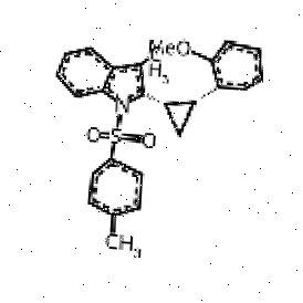 COc1ccccc1[C@@H]1C[C@@H]1c1c(C)c2ccccc2n1S(=O)(=O)c1ccc(C)cc1